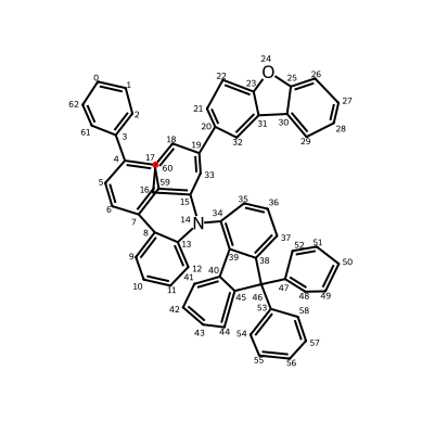 c1ccc(-c2ccc(-c3ccccc3N(c3cccc(-c4ccc5oc6ccccc6c5c4)c3)c3cccc4c3-c3ccccc3C4(c3ccccc3)c3ccccc3)cc2)cc1